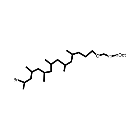 CCCCCCCCOCOCCCC(C)CC(C)CC(C)CC(C)CC(C)CC(C)Br